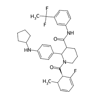 CC1C=CC=C(F)[C@@H]1C(=O)N1CCCC(C(=O)Nc2cccc(C(C)(F)F)c2)C1c1ccc(NC2CCCC2)cc1